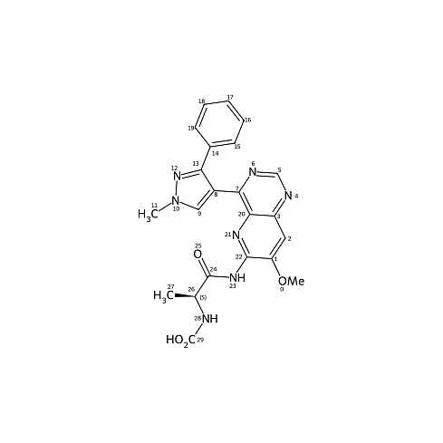 COc1cc2ncnc(-c3cn(C)nc3-c3ccccc3)c2nc1NC(=O)[C@H](C)NC(=O)O